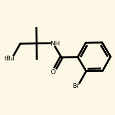 CC(C)(C)CC(C)(C)NC(=O)c1ccccc1Br